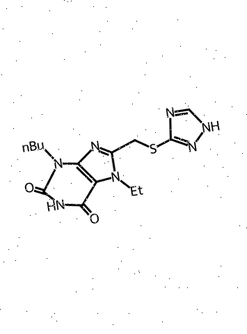 CCCCn1c(=O)[nH]c(=O)c2c1nc(CSc1nc[nH]n1)n2CC